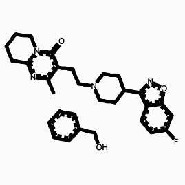 Cc1nc2n(c(=O)c1CCN1CCC(c3noc4cc(F)ccc34)CC1)CCCC2.OCc1ccccc1